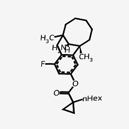 CCCCCCC1(C(=O)Oc2cc(F)c3c(c2)[C@@]2(C)CCCCCC(C)(C3)[C@@H]2N)CC1